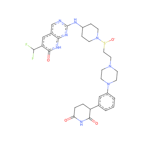 O=C1CCC(c2cccc(N3CCN(CC[S+]([O-])N4CCC(Nc5ncc6cc(C(F)F)c(=O)[nH]c6n5)CC4)CC3)c2)C(=O)N1